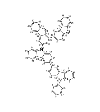 c1ccc(-n2c3ccccc3c3cc(-c4ccc5c(c4)c4ccccc4n5-c4cc(-c5ccc6oc7ccccc7c6c5)c5sc6ccccc6c5c4)ccc32)cc1